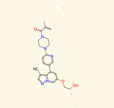 C=C(C)C(=O)N1CCN(c2ccc(-c3cc(OC[C@@H](C)O)cn4ncc(C#N)c34)cn2)CC1